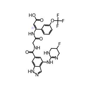 O=C(O)/C=C(/NC(=O)CNC(=O)c1cc(NC2=NCC(F)CN2)c2cn[nH]c2c1)c1cccc(OC(F)(F)F)c1